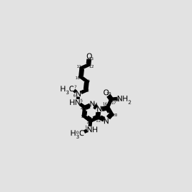 CNc1cc(NN(C)/C=C\C=C/C=O)nn2c(C(N)=O)cnc12